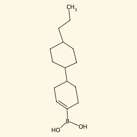 CCCC1CCC(C2CC=C(B(O)O)CC2)CC1